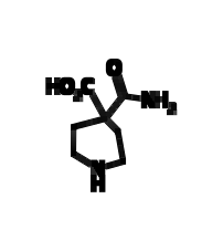 NC(=O)C1(C(=O)O)CCNCC1